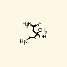 CCCC(C)(O)CC(N)=S